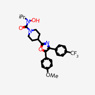 COc1ccc(-c2oc(C3CCN(C(=O)N(O)C(C)C)CC3)nc2-c2ccc(C(F)(F)F)cc2)cc1